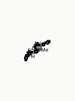 COc1ccc(NC(=O)c2c(F)c(C)c(CN3CCN(C)CC3)c(F)c2F)cc1NC(=O)N(C)c1cc(Nc2ccc(N3CCN(C)CC3)cc2)ncn1